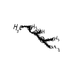 CCCCCCCCC(CC)OC(=O)CCCCCC(O)CN(CCCO)CCCCCCCC(=O)OC(CCCCCCCC)CCCCCCCC